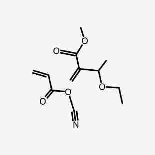 C=C(C(=O)OC)C(C)OCC.C=CC(=O)OC#N